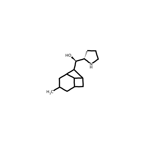 CC1CC2CC3C2C(C1)C3[C@@H](O)[C@@H]1CCCN1